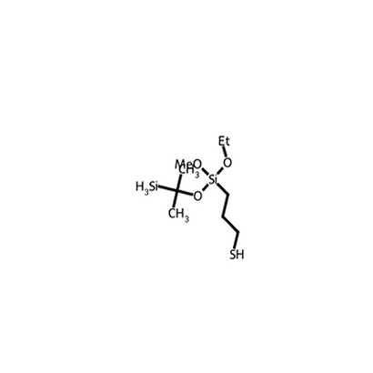 CCO[Si](CCCS)(OC)OC(C)(C)[SiH3]